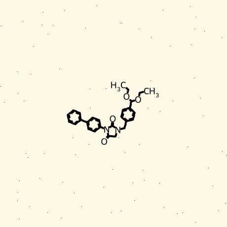 CCOC(OCC)c1ccc(CN2CC(=O)N(c3ccc(-c4ccccc4)cc3)C2=O)cc1